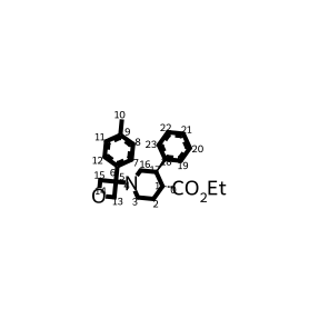 CCOC(=O)[C@@H]1CCN(C2(c3ccc(C)cc3)COC2)C[C@H]1c1ccccc1